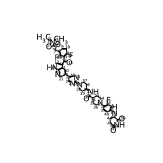 CCN(C)S(=O)(=O)Cc1ccc(F)c(C(=O)c2c[nH]c3ncc(-c4cnc(N5CCC(NC(=O)C6CCN(c7ccc(NC8CCC(=O)NC8=O)cc7F)CC6)CC5)nc4)cc23)c1F